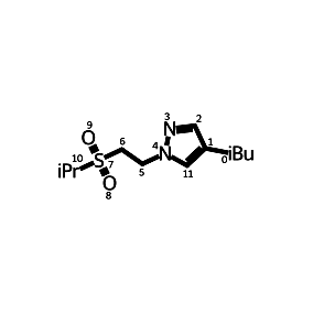 CCC(C)c1cnn(CCS(=O)(=O)C(C)C)c1